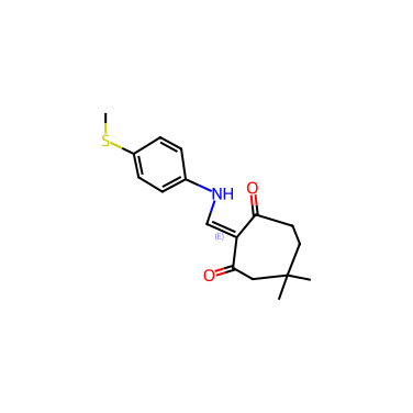 CSc1ccc(N/C=C2\C(=O)CCC(C)(C)CC2=O)cc1